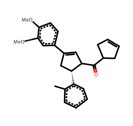 COc1ccc(C2=CC(C(=O)C3CC=CC3)[C@H](c3ccccc3C)C2)cc1OC